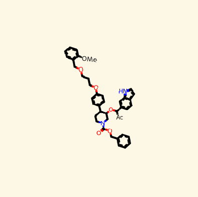 COc1ccccc1COCCCOc1ccc(C2CCN(C(=O)OCc3ccccc3)CC2OC(C(C)=O)c2ccc3cc[nH]c3c2)cc1